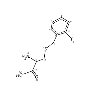 NC(CSCc1ccccc1F)C(=O)O